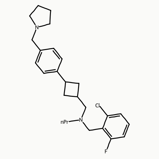 CCCN(Cc1c(F)cccc1Cl)CC1CC(c2ccc(CN3CCCC3)cc2)C1